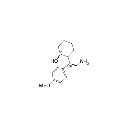 COc1ccc([C@H](CN)C2CCCC[C@@H]2O)cc1